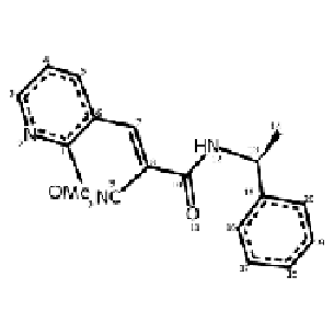 COc1ncccc1C=C(C#N)C(=O)N[C@@H](C)c1ccccc1